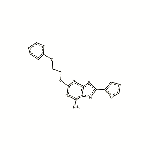 Nc1nc(OCCOc2ccccc2)nc2nc(-c3ccco3)nn12